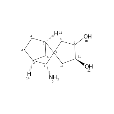 N[C@@H]1[C@H]2CC[C@H](C2)C12CC(O)[C@@H](O)C2